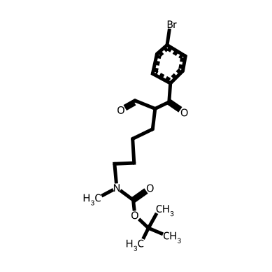 CN(CCCCC(C=O)C(=O)c1ccc(Br)cc1)C(=O)OC(C)(C)C